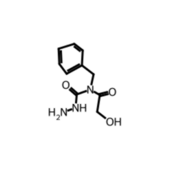 NNC(=O)N(Cc1ccccc1)C(=O)CO